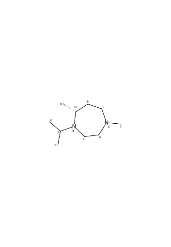 CC(C)N1CCN(C)CC[C@H]1C